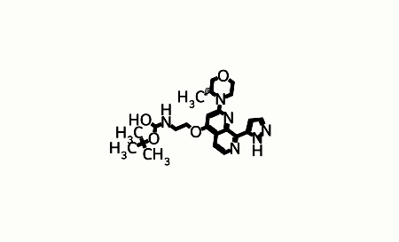 C[C@@H]1COCCN1c1cc(OCCNC(O)OC(C)(C)C)c2ccnc(-c3ccn[nH]3)c2n1